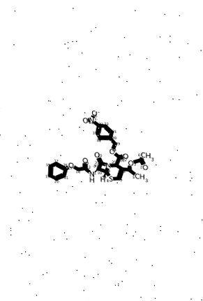 CC(=O)OC(C)C1=CS[C@@H]2[C@H](NC(=O)COc3ccccc3)C(=O)N2C1C(=O)OCc1ccc([N+](=O)[O-])cc1